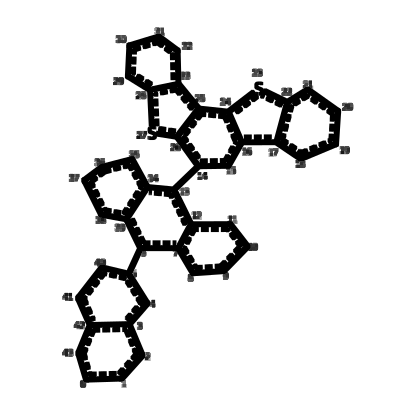 c1ccc2cc(-c3c4ccccc4c(-c4cc5c6ccccc6sc5c5c4sc4ccccc45)c4ccccc34)ccc2c1